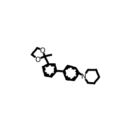 CC1(c2cccc(-c3ccc(N4CCCCC4)cc3)c2)OCCO1